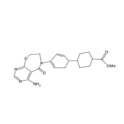 COC(=O)C1CCC(C2C=CC(N3CCOc4ncnc(N)c4C3=O)=CC2)CC1